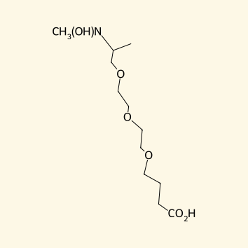 CC(COCCOCCOCCCC(=O)O)N(C)O